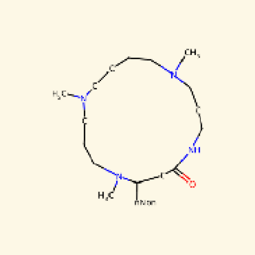 CCCCCCCCCC1CC(=O)NCCCN(C)CCCCN(C)CCCN1C